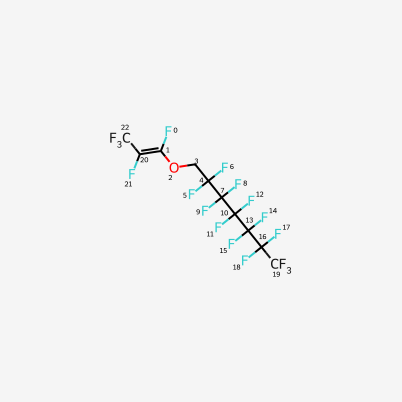 FC(OCC(F)(F)C(F)(F)C(F)(F)C(F)(F)C(F)(F)C(F)(F)F)=C(F)C(F)(F)F